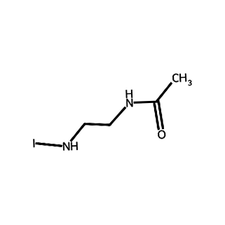 CC(=O)NCCNI